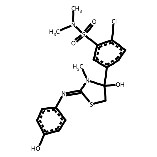 CN1C(=Nc2ccc(O)cc2)SCC1(O)c1ccc(Cl)c(S(=O)(=O)N(C)C)c1